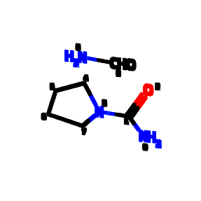 NC(=O)N1CCCC1.NC=O